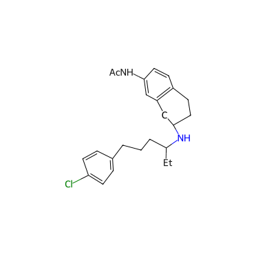 CCC(CCCc1ccc(Cl)cc1)NC1CCc2ccc(NC(C)=O)cc2C1